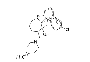 CN1CCN(CC2CCCC/C(=C/c3ccc(Cl)cc3)C2(O)Cc2c(F)cccc2Cl)CC1